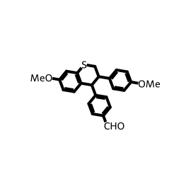 COc1ccc(C2CSc3cc(OC)ccc3C2c2ccc(C=O)cc2)cc1